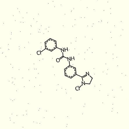 O=C(Nc1cccc(Cl)c1)Nc1cccc(C2=NCCN2Cl)c1